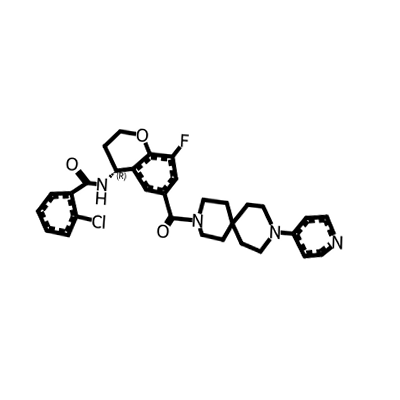 O=C(N[C@@H]1CCOc2c(F)cc(C(=O)N3CCC4(CC3)CCN(c3ccncc3)CC4)cc21)c1ccccc1Cl